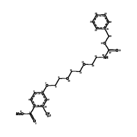 COC(=O)c1ccc(OCCOCCOCCNC(=O)OCc2ccccc2)cc1C(F)(F)F